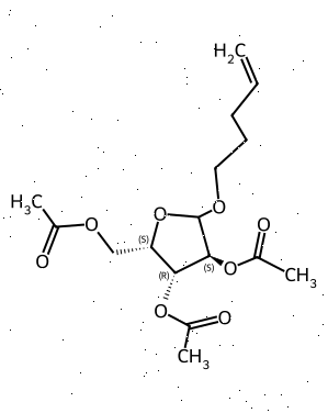 C=CCCCOC1O[C@@H](COC(C)=O)[C@@H](OC(C)=O)[C@@H]1OC(C)=O